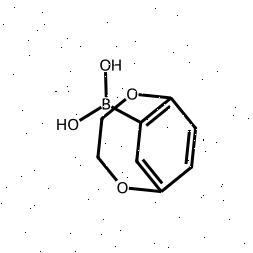 OB(O)c1cc2ccc1OCCO2